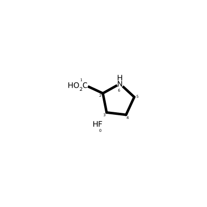 F.O=C(O)C1CCCN1